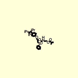 C=C(C)C(=O)OCCNC(=O)OC(COc1ccc(C(C(C)C)C(C(C)C)C(C)C)cc1)CSc1ccccc1